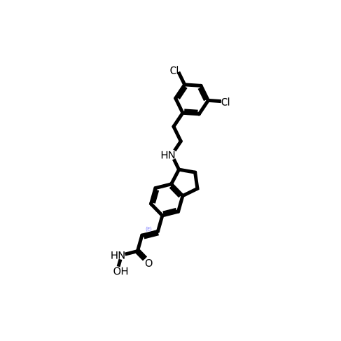 O=C(/C=C/c1ccc2c(c1)CCC2NCCc1cc(Cl)cc(Cl)c1)NO